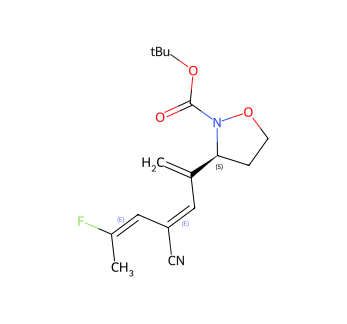 C=C(/C=C(C#N)\C=C(/C)F)[C@@H]1CCON1C(=O)OC(C)(C)C